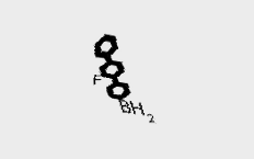 BC1CCC(C2CCC(C3CCCCC3)CC2F)CC1